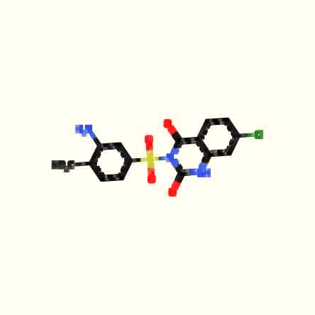 Nc1cc(S(=O)(=O)n2c(=O)[nH]c3cc(Cl)ccc3c2=O)ccc1C(=O)O